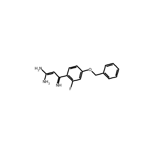 N=C(C=C(N)N)c1ccc(OCc2ccccc2)cc1F